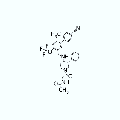 CC(=O)NCC(=O)N1CC[C@H](NCc2cc(-c3ccc(C#N)cc3C)ccc2OC(F)(F)F)[C@H](c2ccccc2)C1